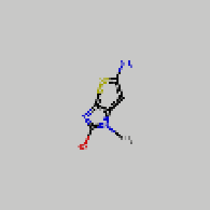 Cn1c(O)nc2sc(N)cc21